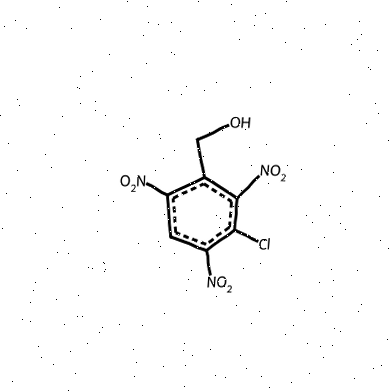 O=[N+]([O-])c1cc([N+](=O)[O-])c(CO)c([N+](=O)[O-])c1Cl